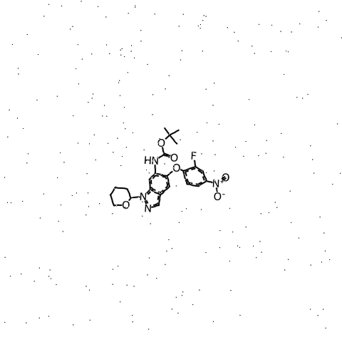 CC(C)(C)OC(=O)Nc1cc2c(cnn2C2CCCCO2)cc1Oc1ccc([N+](=O)[O-])cc1F